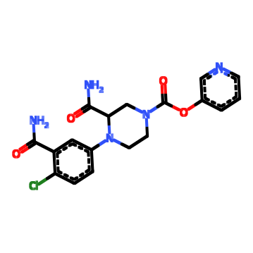 NC(=O)c1cc(N2CCN(C(=O)Oc3cccnc3)CC2C(N)=O)ccc1Cl